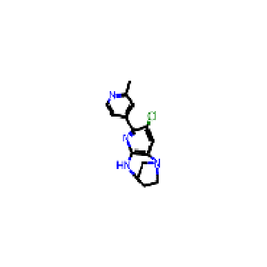 Cc1cc(-c2nc3c(cc2Cl)N2CCC(C2)N3)ccn1